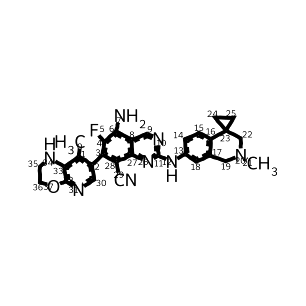 Cc1c(-c2c(F)c(N)c3cnc(Nc4ccc5c(c4)CN(C)CC54CC4)nc3c2C#N)cnc2c1NCCO2